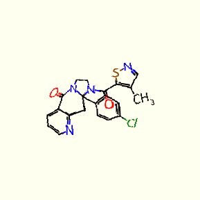 Cc1cnsc1C(=O)N1CCN2C(=O)c3cccnc3CC21c1ccc(Cl)cc1